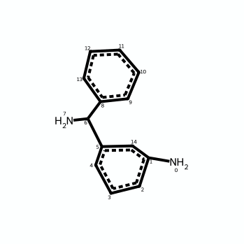 Nc1cccc(C(N)c2ccccc2)c1